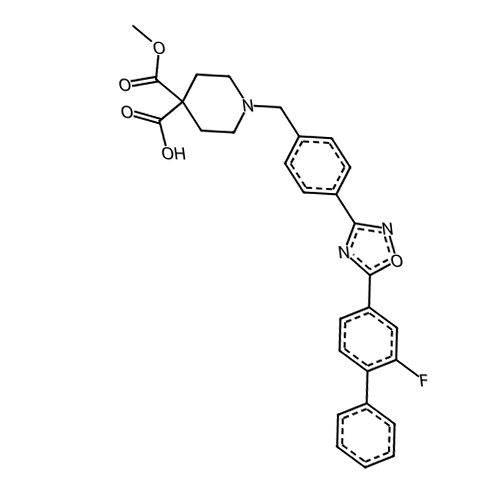 COC(=O)C1(C(=O)O)CCN(Cc2ccc(-c3noc(-c4ccc(-c5ccccc5)c(F)c4)n3)cc2)CC1